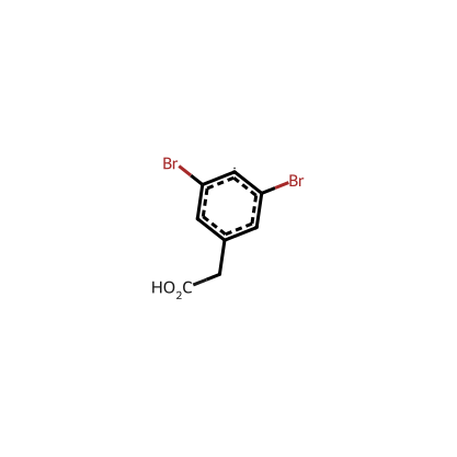 O=C(O)Cc1cc(Br)[c]c(Br)c1